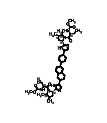 CC[C@H](NC(=O)OC)C(=O)N1[C@H](C)[C@H](C)C[C@H]1c1ncc(-c2ccc(-c3ccc4cc(-c5cnc([C@@H]6C[C@@H](C)[C@@H](C)N6C(=O)[C@H](CC)NC(=O)OC)[nH]5)ccc4c3)cc2)[nH]1